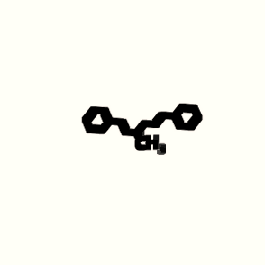 C[C](C=Cc1ccccc1)CC=Cc1ccccc1